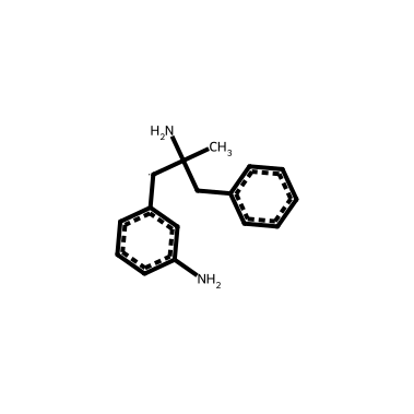 CC(N)([CH]c1cccc(N)c1)Cc1ccccc1